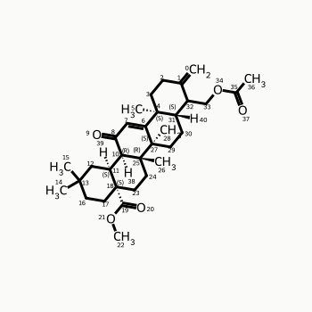 C=C1CC[C@]2(C)C3=CC(=O)[C@@H]4[C@@H]5CC(C)(C)CC[C@]5(C(=O)OC)CC[C@@]4(C)[C@]3(C)CC[C@H]2C1COC(C)=O